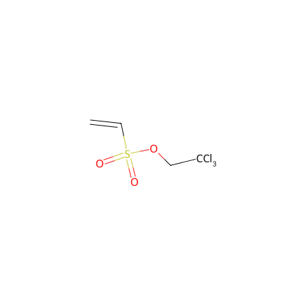 C=CS(=O)(=O)OCC(Cl)(Cl)Cl